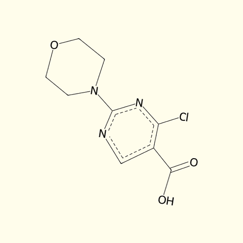 O=C(O)c1cnc(N2CCOCC2)nc1Cl